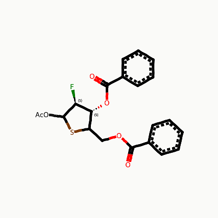 CC(=O)OC1SC(COC(=O)c2ccccc2)[C@@H](OC(=O)c2ccccc2)[C@@H]1F